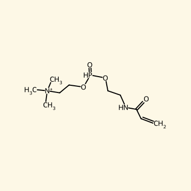 C=CC(=O)NCCO[PH](=O)OCC[N+](C)(C)C